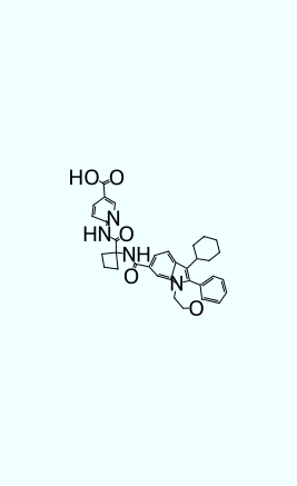 O=C(O)c1ccc(NC(=O)C2(NC(=O)c3ccc4c(C5CCCCC5)c5n(c4c3)CCOc3ccccc3-5)CCC2)nc1